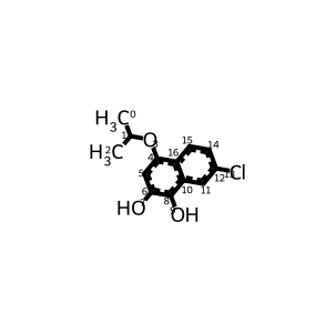 CC(C)Oc1cc(O)c(O)c2cc(Cl)ccc12